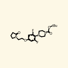 CC(C)(C)OC(=O)N1CCN(c2c(F)cc(OCCN3CCCC3=O)cc2F)CC1